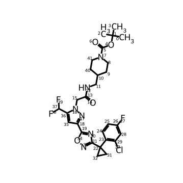 CC(C)(C)OC(=O)N1CCC(CNC(=O)Cn2nc(-c3nc(C4(c5ccc(F)cc5Cl)CC4)no3)cc2C(F)F)CC1